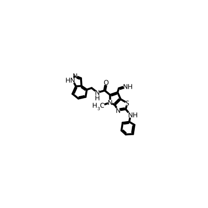 Cn1c(C(=O)NCc2cccc3[nH]ncc23)c(C=N)c2sc(Nc3ccccc3)nc21